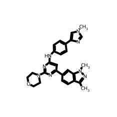 Cc1nn(C)c2cc(-c3cc(Nc4ccc(-c5cn(C)cn5)cc4)nc(N4CCOCC4)n3)ccc12